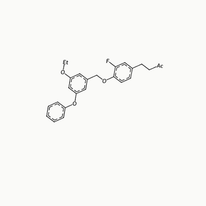 CCOc1cc(COc2ccc(CCC(C)=O)cc2F)cc(Oc2ccccc2)c1